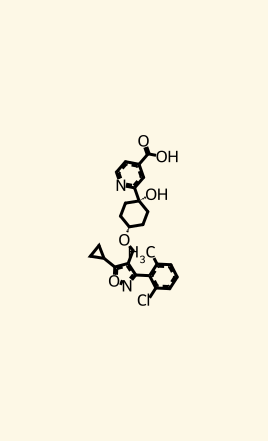 Cc1cccc(Cl)c1-c1noc(C2CC2)c1CO[C@H]1CC[C@](O)(c2cc(C(=O)O)ccn2)CC1